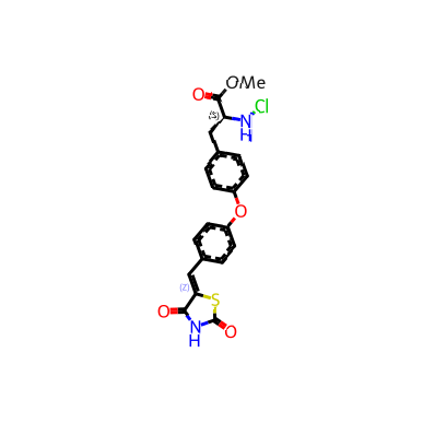 COC(=O)[C@H](Cc1ccc(Oc2ccc(/C=C3\SC(=O)NC3=O)cc2)cc1)NCl